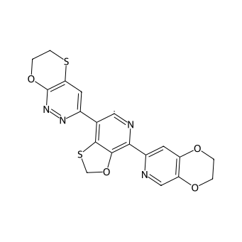 [c]1nc(-c2cc3c(cn2)OCCO3)c2c(c1-c1cc3c(nn1)OCCS3)SCO2